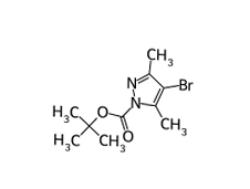 Cc1nn(C(=O)OC(C)(C)C)c(C)c1Br